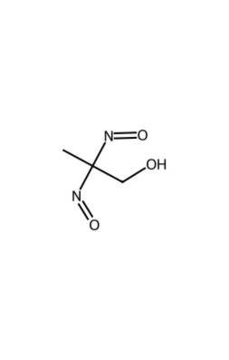 CC(CO)(N=O)N=O